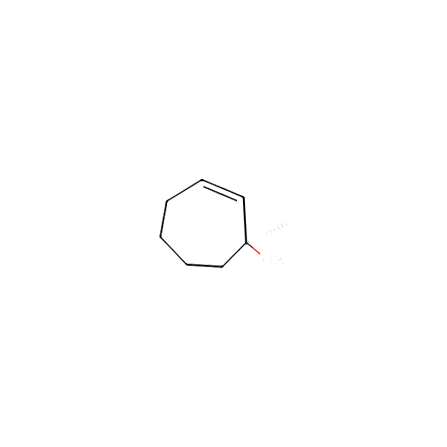 C[C@@]1(O)C=CCCCC1